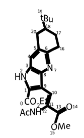 CCOC(=O)c1[nH]c2cc3c(nc2c1/C=C(\NC(C)=O)C(=O)OC)CCC(C(C)(C)C)C3